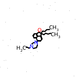 C=CCN1CCCN(c2ccc3c4c(cccc24)C(=O)C3(CCCCC)CCCCC)CC1